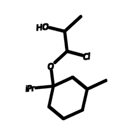 CC1CCCC(OC(Cl)C(C)O)(C(C)C)C1